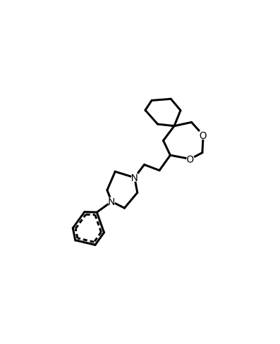 c1ccc(N2CCN(CCC3CC4(CCCCC4)COCO3)CC2)cc1